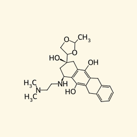 CC1OCC([C@]2(O)Cc3c(O)c4c(c(O)c3[C@@H](NCCN(C)C)C2)Cc2ccccc2C4)O1